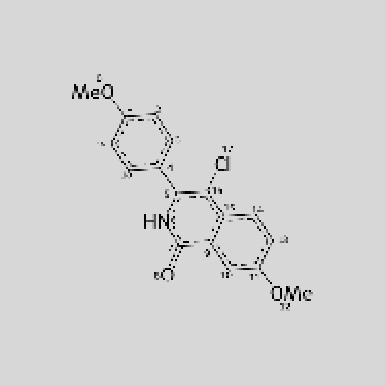 COc1ccc(-c2[nH]c(=O)c3cc(OC)ccc3c2Cl)cc1